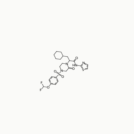 O=C(Nc1nccs1)C(CC1CCCCC1)N1CCN(S(=O)(=O)c2ccc(OC(F)F)cc2)CC1=O